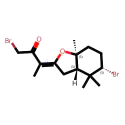 C/C(C(=O)CBr)=C1\C[C@H]2C(C)(C)[C@@H](Br)CC[C@]2(C)O1